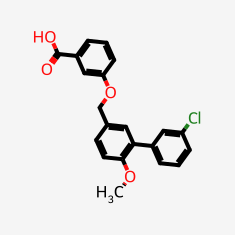 COc1ccc(COc2cccc(C(=O)O)c2)cc1-c1cccc(Cl)c1